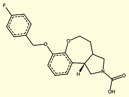 O=C(O)N1CC2CCOc3c(OCc4ccc(F)cc4)cccc3[C@H]2C1